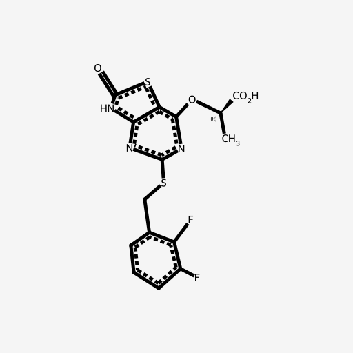 C[C@@H](Oc1nc(SCc2cccc(F)c2F)nc2[nH]c(=O)sc12)C(=O)O